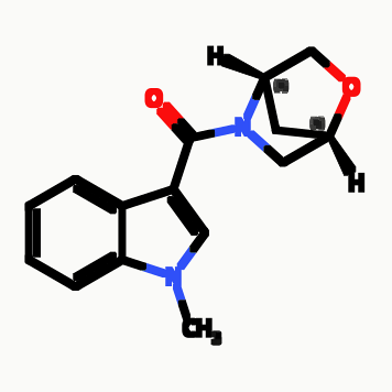 Cn1cc(C(=O)N2C[C@@H]3C[C@H]2CO3)c2ccccc21